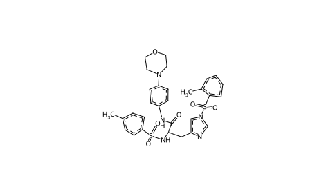 Cc1ccc(S(=O)(=O)NC(Cc2cn(S(=O)(=O)c3ccccc3C)cn2)C(=O)Nc2ccc(N3CCOCC3)cc2)cc1